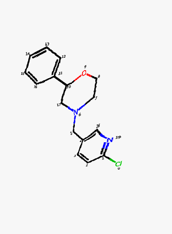 Clc1ccc(CN2CCOC(c3ccccc3)C2)cn1